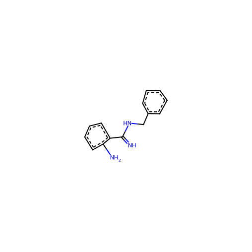 N=C(NCc1ccccc1)c1ccccc1N